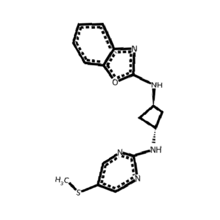 CSc1cnc(N[C@H]2C[C@H](Nc3nc4ccccc4o3)C2)nc1